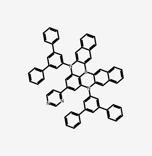 c1ccc(-c2cc(-c3ccccc3)cc(N3c4cc5ccccc5cc4B4c5cc6ccccc6cc5N(c5cc(-c6ccccc6)cc(-c6ccccc6)c5)c5cc(-c6ccncn6)cc3c54)c2)cc1